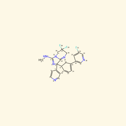 CNC1=NC(c2ccncc2)(C2C=CC=C(c3cncc(F)c3)C2)C2=NCC(F)(F)CN12